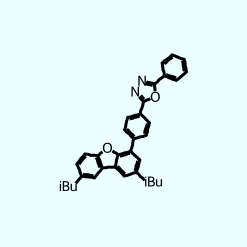 CCC(C)c1ccc2oc3c(-c4ccc(-c5nnc(-c6ccccc6)o5)cc4)cc(C(C)CC)cc3c2c1